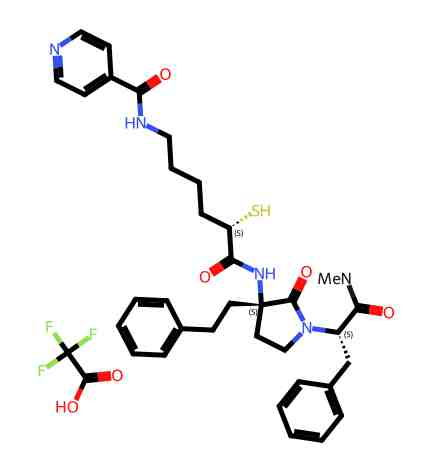 CNC(=O)[C@H](Cc1ccccc1)N1CC[C@](CCc2ccccc2)(NC(=O)[C@@H](S)CCCCNC(=O)c2ccncc2)C1=O.O=C(O)C(F)(F)F